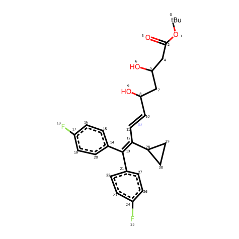 CC(C)(C)OC(=O)CC(O)CC(O)/C=C/C(=C(c1ccc(F)cc1)c1ccc(F)cc1)C1CC1